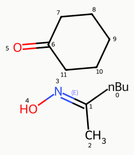 CCCC/C(C)=N/O.O=C1CCCCC1